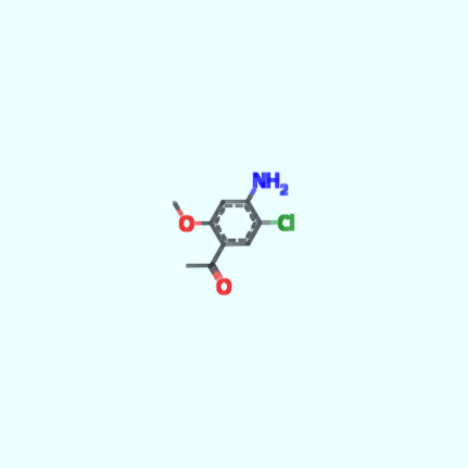 COc1cc(N)c(Cl)cc1C(C)=O